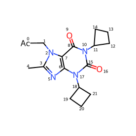 CC(=O)Cn1c(C)nc2c1c(=O)n(C1CCC1)c(=O)n2C1CCC1